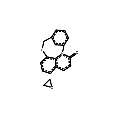 C1CO1.O=c1ccc2cccc3c2n1-c1cccc(c1)CO3